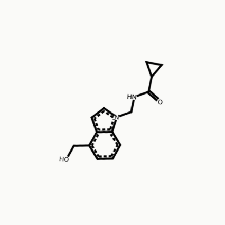 O=C(NCn1ccc2c(CO)cccc21)C1CC1